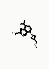 CSCC1CN(c2ccc(C(C)C)c3cc(Cl)ncc23)C1